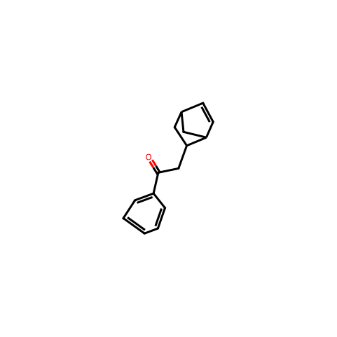 O=C(CC1CC2C=CC1C2)c1ccccc1